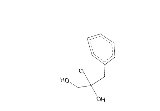 OCC(O)(Cl)Cc1ccccc1